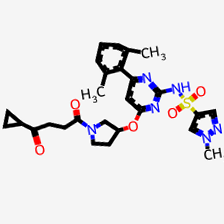 Cc1cccc(C)c1-c1cc(OC2CCN(C(=O)CCC(=O)C3CC3)C2)nc(NS(=O)(=O)c2cnn(C)c2)n1